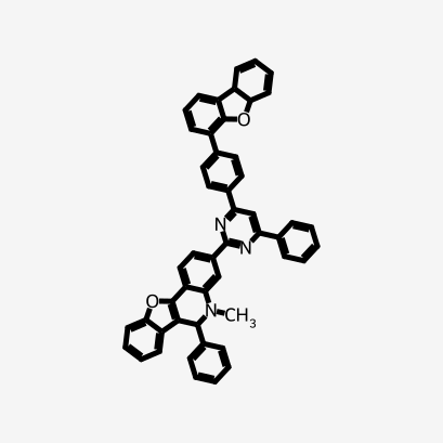 CN1c2cc(-c3nc(-c4ccccc4)cc(-c4ccc(-c5cccc6c5OC5C=CC=CC65)cc4)n3)ccc2-c2oc3ccccc3c2C1c1ccccc1